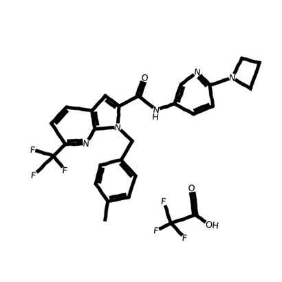 Cc1ccc(Cn2c(C(=O)Nc3ccc(N4CCC4)nc3)cc3ccc(C(F)(F)F)nc32)cc1.O=C(O)C(F)(F)F